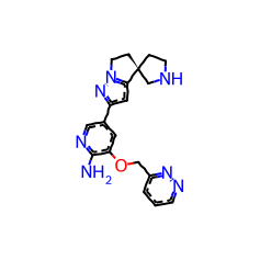 Nc1ncc(-c2cc3n(n2)CC[C@]32CCNC2)cc1OCc1cccnn1